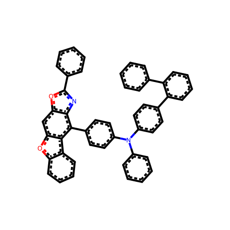 c1ccc(-c2nc3c(-c4ccc(N(c5ccccc5)c5ccc(-c6ccccc6-c6ccccc6)cc5)cc4)c4c(cc3o2)oc2ccccc24)cc1